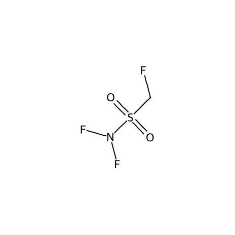 O=S(=O)(CF)N(F)F